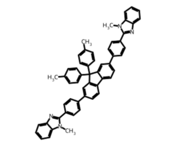 Cc1ccc(C2(c3ccc(C)cc3)c3cc(-c4ccc(-c5nc6ccccc6n5C)cc4)ccc3-c3ccc(-c4ccc(-c5nc6ccccc6n5C)cc4)cc32)cc1